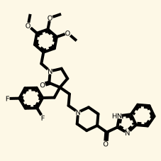 COc1cc(CN2CCC(CCN3CCC(C(=O)c4nc5ccccc5[nH]4)CC3)(Cc3ccc(F)cc3F)C2=O)cc(OC)c1OC